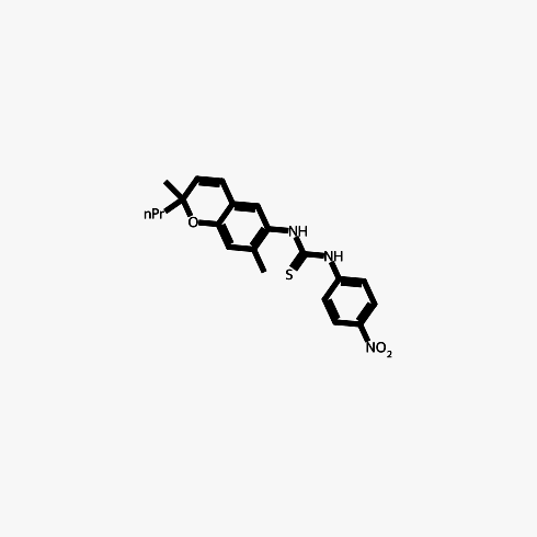 CCCC1(C)C=Cc2cc(NC(=S)Nc3ccc([N+](=O)[O-])cc3)c(C)cc2O1